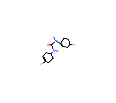 CN(C(=O)N(C)C1CC=C(F)CC1)C1=CCC(F)CC1